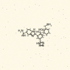 N=C(N)c1ccc2[nH]c(-c3cc(-c4nnn[nH]4)cc(-c4cccc(CN)c4O)c3O)nc2c1